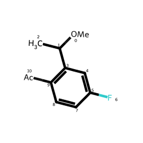 COC(C)c1cc(F)ccc1C(C)=O